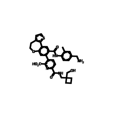 Cc1cc(CN)ccc1NC(=O)c1cc2c(cc1-c1ccc(C(=O)NCC3(CO)CCC3)nc1C(=O)O)OCCc1ccsc1-2